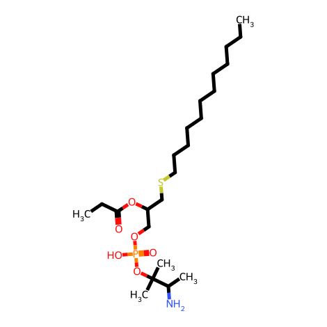 CCCCCCCCCCCCSCC(COP(=O)(O)OC(C)(C)C(C)N)OC(=O)CC